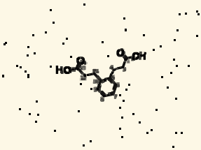 O=C(O)CCc1ccccc1CCC(=O)O